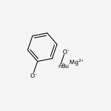 CCCC[O-].[Mg+2].[O-]c1ccccc1